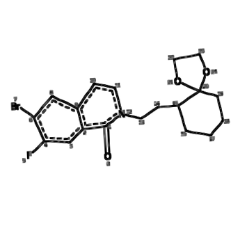 O=c1c2cc(F)c(Br)cc2ccn1CCC1CCCCC12OCCO2